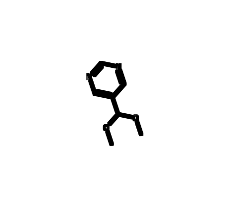 COC(OC)c1cncnc1